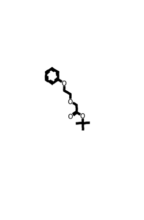 CC(C)(C)OC(=O)COCCOc1[c]cccc1